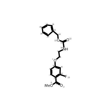 COC(=O)c1ccc(OCCNC(=O)OCc2ccccc2)cc1F